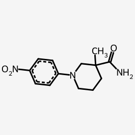 CC1(C(N)=O)CCCN(c2ccc([N+](=O)[O-])cc2)C1